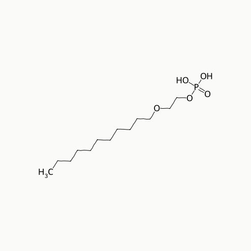 CCCCCCCCCCCOCCOP(=O)(O)O